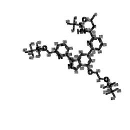 CCC[C@H](N[S+]([O-])C(C)(C)C)c1cccc(-c2cc(OCCO[Si](C)(C)C(C)(C)C)c3cnn(-c4cccc(CO[Si](C)(C)C(C)(C)C)n4)c3c2)n1